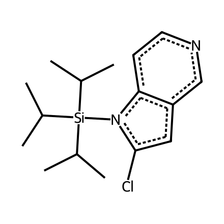 CC(C)[Si](C(C)C)(C(C)C)n1c(Cl)cc2cnccc21